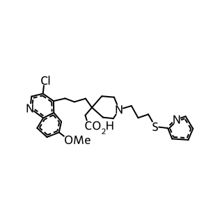 COc1ccc2ncc(Cl)c(CCCC3(CC(=O)O)CCN(CCCSc4ccccn4)CC3)c2c1